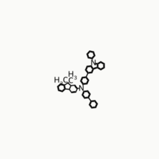 CC1(C)c2ccccc2C2C=CC(N(c3ccc(-c4ccccc4)cc3)c3ccc(-c4ccc5c(c4)c4ccccc4n5-c4ccccc4)cc3)=CC21